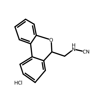 Cl.N#CNCC1Oc2ccccc2-c2ccccc21